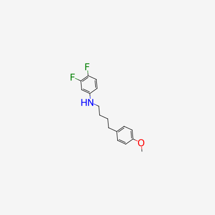 COc1ccc(CCCCNc2ccc(F)c(F)c2)cc1